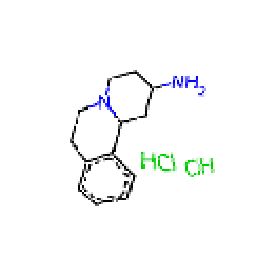 Cl.Cl.NC1CCN2CCc3ccccc3C2C1